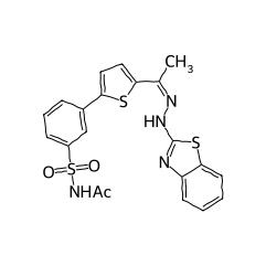 CC(=O)NS(=O)(=O)c1cccc(-c2ccc(C(C)=NNc3nc4ccccc4s3)s2)c1